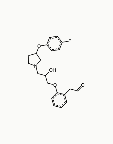 O=CCc1ccccc1OCC(O)CN1CCC(Oc2ccc(F)cc2)C1